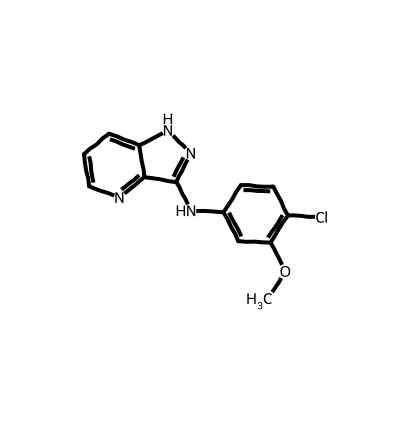 COc1cc(Nc2n[nH]c3cccnc23)ccc1Cl